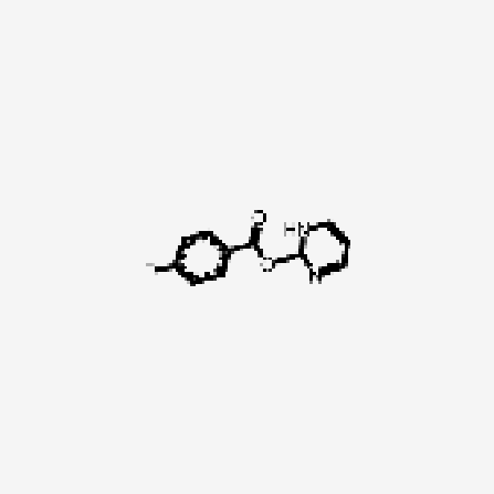 O=C(OC1N=CC=CN1)c1ccc(F)cc1